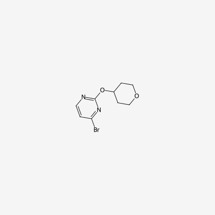 Brc1ccnc(OC2CCOCC2)n1